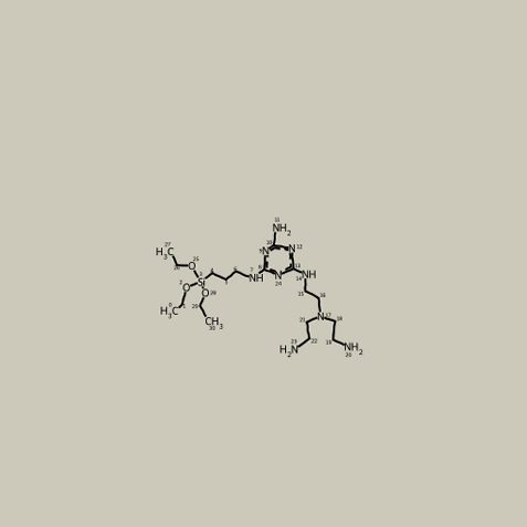 CCO[Si](CCCNc1nc(N)nc(NCCN(CCN)CCN)n1)(OCC)OCC